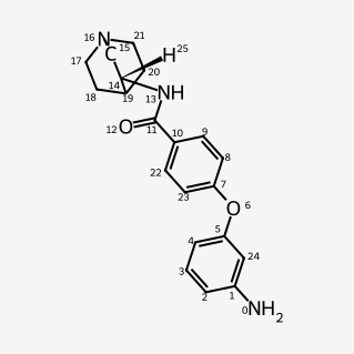 Nc1cccc(Oc2ccc(C(=O)N[C@H]3CN4CCC3CC4)cc2)c1